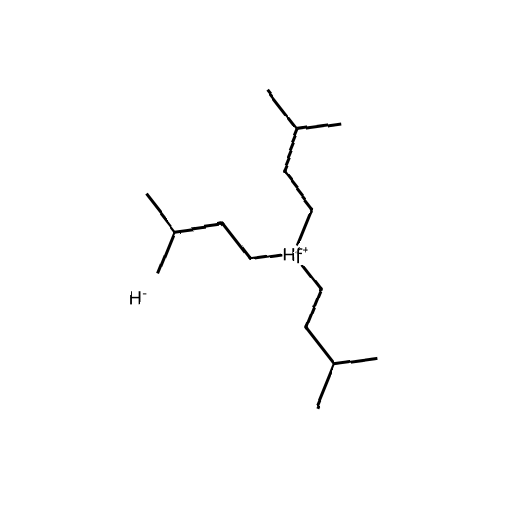 CC(C)C[CH2][Hf+]([CH2]CC(C)C)[CH2]CC(C)C.[H-]